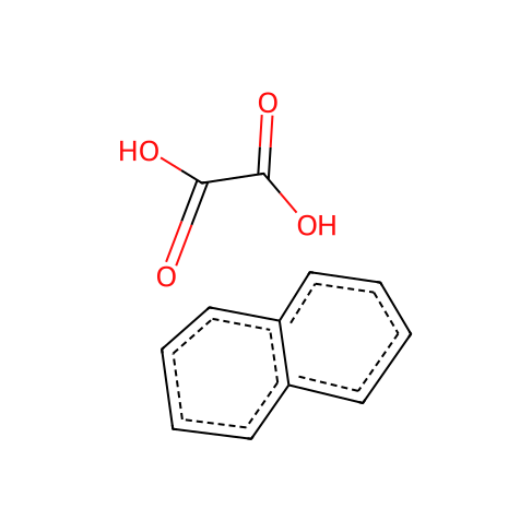 O=C(O)C(=O)O.c1ccc2ccccc2c1